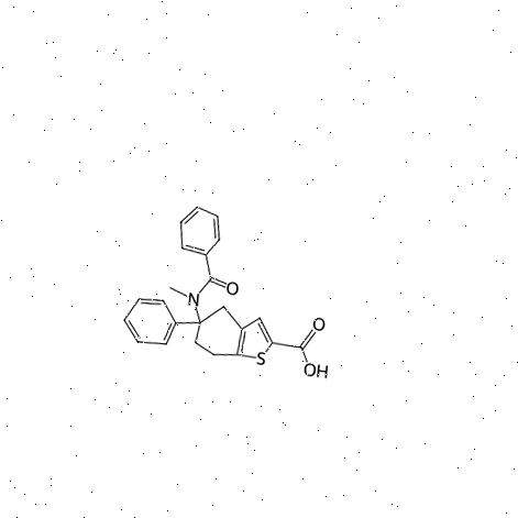 CN(C(=O)c1ccccc1)C1(c2ccccc2)CCc2sc(C(=O)O)cc2C1